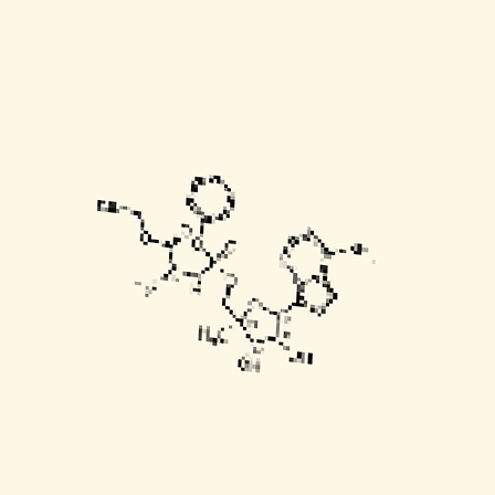 C[C@H](NP(=O)(OC[C@@]1(C)O[C@@H](c2ccc3c(N)ncnn23)[C@H](O)[C@@H]1O)Oc1ccccc1)C(=O)OCC(C)(C)C